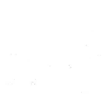 Cc1ccc(C(=O)c2ccc(CC(=O)N[C@@H](CC(=O)[O-])C(=O)[O-])n2C)cc1.[Ca+2]